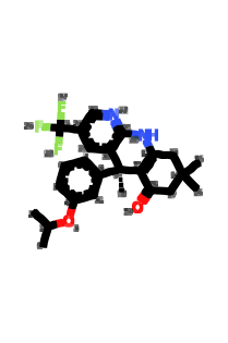 CC(C)Oc1cccc([C@]2(C)C3=C(CC(C)(C)CC3=O)Nc3ncc(C(F)(F)F)cc32)c1